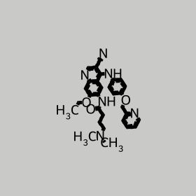 CCOc1cc2ncc(C#N)c(Nc3ccc(OCc4ccccn4)cc3)c2cc1NC(=O)CCCN(C)C